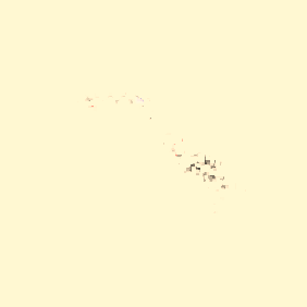 CC(C)CCC[C@@H](C)[C@H]1CC[C@H]2[C@@H]3CC=C4C[C@@H](OC(=O)CCCCCCC/C=C\CCCCCCC(C)O)CC[C@]4(C)[C@H]3CC[C@]12C